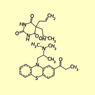 C=CCC1(CC(C)O)C(=O)NC(=O)NC1=O.CCC(=O)c1ccc2c(c1)N(CC(C)N(C)C)c1ccccc1S2